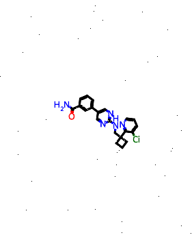 NC(=O)c1cccc(-c2cnc(NCC3(c4ncccc4Cl)CCC3)nc2)c1